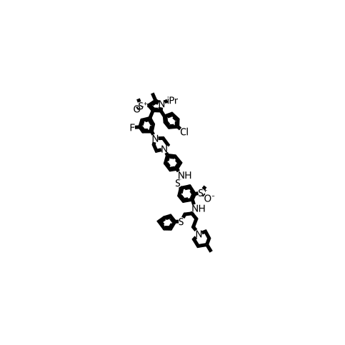 Cc1c([S+](C)[O-])c(-c2cc(F)cc(N3CCN(c4ccc(NSc5ccc(NC(CCN6CCC(C)CC6)CSc6ccccc6)c([S+](C)[O-])c5)cc4)CC3)c2)c(-c2ccc(Cl)cc2)n1C(C)C